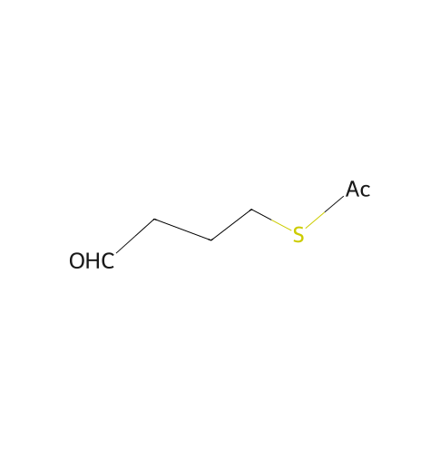 CC(=O)SCCCC=O